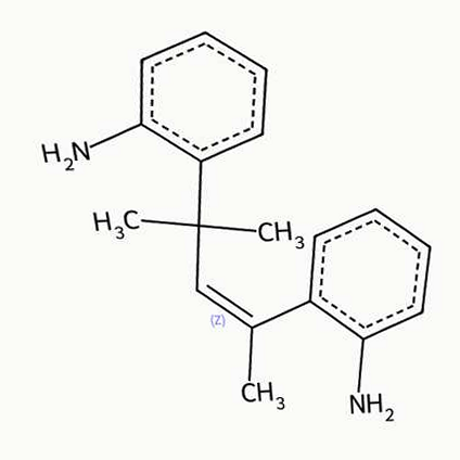 C/C(=C/C(C)(C)c1ccccc1N)c1ccccc1N